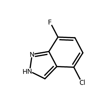 Fc1ccc(Cl)c2c[nH]nc12